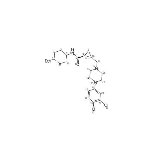 CCC1CCC(NC(=O)[C@H]2CC2CN2CCN(c3ccc(Cl)c(Cl)c3)CC2)CC1